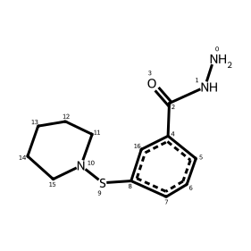 NNC(=O)c1cccc(SN2CCCCC2)c1